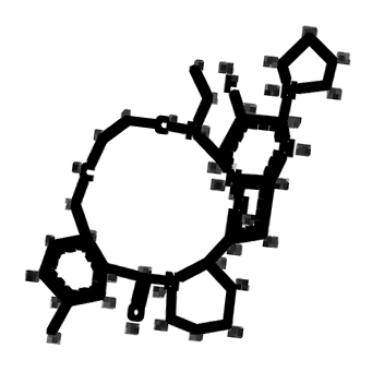 CCN1CCCCCc2ccc(C)cc2C(=O)N2CCCCC2c2cc3nc(N4CCCC4)c(F)c1n3n2